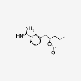 CCCC(Cc1cccc(C(=N)N)c1)O[C]=O